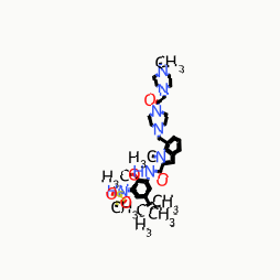 COc1c(NC(=O)c2cc3cccc(CN4CCN(C(=O)CN5CCN(C)CC5)CC4)c3n2C)cc(C(C)(C)C)cc1NS(C)(=O)=O